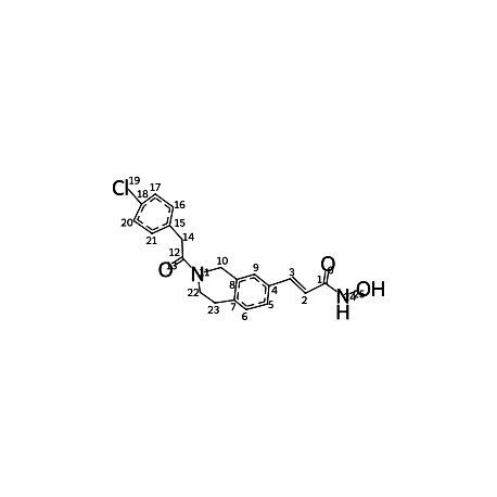 O=C(C=Cc1ccc2c(c1)CN(C(=O)Cc1ccc(Cl)cc1)CC2)NO